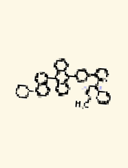 C=C/C=C\C(=C1\C=CC=CC1)c1ncccc1-c1ccc(-c2c3ccccc3c(-c3cccc4c(C5CCCCC5)cccc34)c3ccccc23)cc1